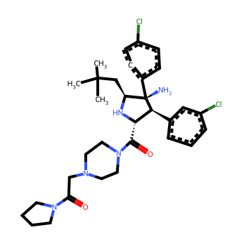 CC(C)(C)C[C@@H]1N[C@@H](C(=O)N2CCN(CC(=O)N3CCCC3)CC2)[C@H](c2cccc(Cl)c2)[C@@]1(N)c1ccc(Cl)cc1